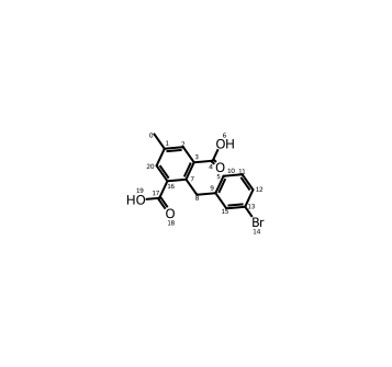 Cc1cc(C(=O)O)c(Cc2cccc(Br)c2)c(C(=O)O)c1